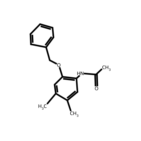 CC(=O)Nc1cc(C)c(C)cc1OCc1ccccc1